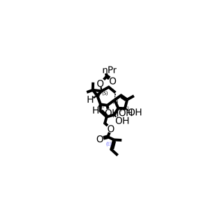 C/C=C(\C)C(=O)OCC1=C[C@@H]2C(O)[C@]3(C=C(C)[C@H](O)[C@@]3(O)[C@@H]1O)CC[C@]1(OC(=O)CCC)[C@H]2C1(C)C